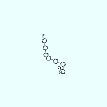 Fc1ccc(-c2ccc(-c3ccc4ccc(-c5ccc(-c6cccc7c6oc6ncccc67)cc5)cc4c3)cc2)cc1